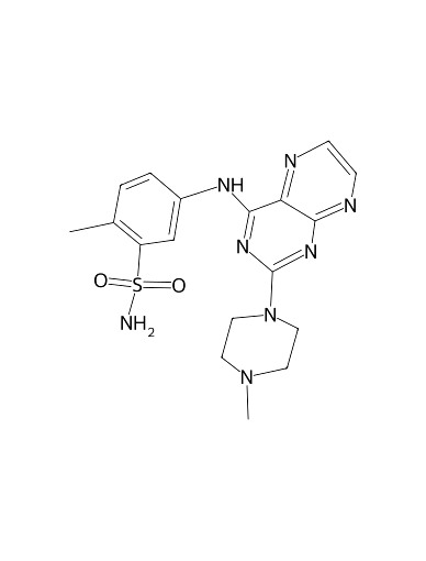 Cc1ccc(Nc2nc(N3CCN(C)CC3)nc3nccnc23)cc1S(N)(=O)=O